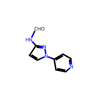 O=CNc1ccn(-c2ccncc2)n1